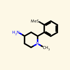 CSc1ccccc1C1CC(N)CCN1C